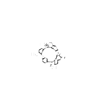 COc1cc2c3c4c1Oc1cc5c(cc1O4)[C@H](Cc1ccc(O)c(c1)Oc1ccc(cc1)C[C@@H]3N(C(N)=O)CC2)N(C)CC5